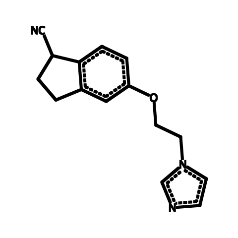 N#CC1CCc2cc(OCCn3ccnc3)ccc21